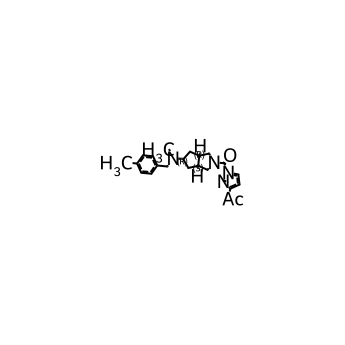 CC(=O)c1ccn(C(=O)N2C[C@H]3C[C@@H](N(C)Cc4ccc(C)cc4)C[C@H]3C2)n1